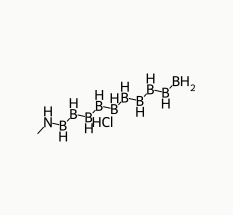 BBBBBBBBBBNC.Cl